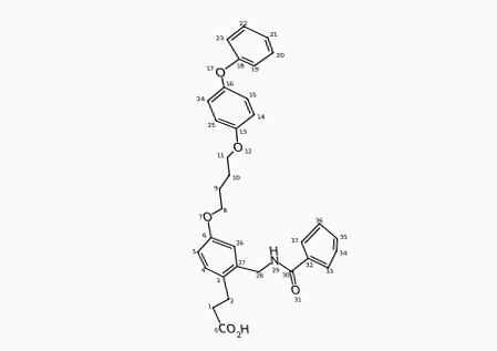 O=C(O)CCc1ccc(OCCCCOc2ccc(Oc3ccccc3)cc2)cc1CNC(=O)c1ccccc1